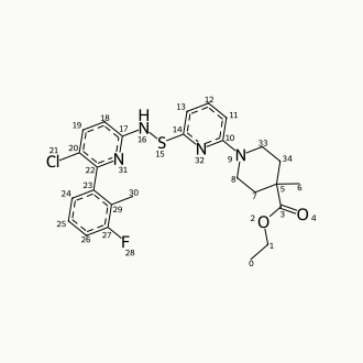 CCOC(=O)C1(C)CCN(c2cccc(SNc3ccc(Cl)c(-c4cccc(F)c4C)n3)n2)CC1